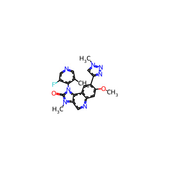 COc1cc2ncc3c(c2cc1-c1cn(C)nn1)n(-c1c(C)cncc1F)c(=O)n3C